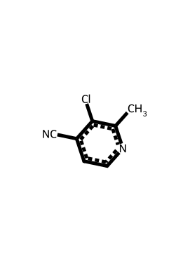 Cc1nccc(C#N)c1Cl